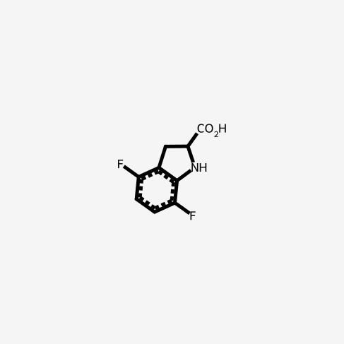 O=C(O)C1Cc2c(F)ccc(F)c2N1